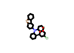 Clc1cc(Cl)cc(-c2ccccc2N(c2ccccc2)c2ccc3sc4ccccc4c3c2)c1